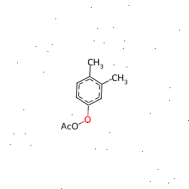 CC(=O)OOc1ccc(C)c(C)c1